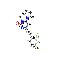 O=c1nc(C#Cc2ccc(F)cc2F)cc2n1CC1CCCN21